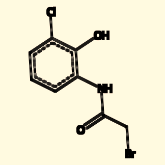 O=C(CBr)Nc1cccc(Cl)c1O